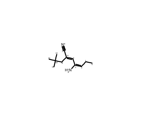 CC/C=C(N)\C=C(\C#N)CC(C)(C)C